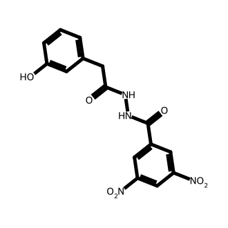 O=C(Cc1cccc(O)c1)NNC(=O)c1cc([N+](=O)[O-])cc([N+](=O)[O-])c1